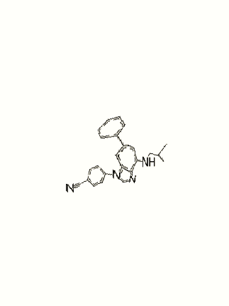 CC(C)CNc1cc(-c2ccccc2)cc2c1ncn2-c1ccc(C#N)cc1